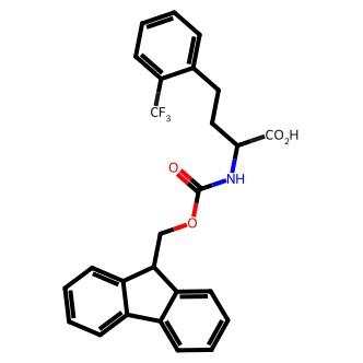 O=C(NC(CCc1ccccc1C(F)(F)F)C(=O)O)OCC1c2ccccc2-c2ccccc21